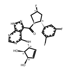 O=C(c1n[nH]c2ncnc(N[C@@H]3C=C[C@@H](O)[C@H]3O)c12)N1C[C@@H](F)C[C@@H]1c1cc(F)cc(F)c1